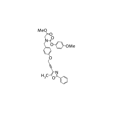 COC(=O)CN(Cc1ccc(OCC#Cc2nc(-c3ccccc3)oc2C)cc1)C(=O)Oc1ccc(OC)cc1